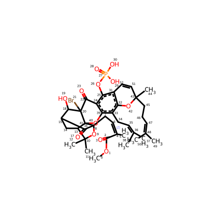 COC(=O)/C(C)=C\CC12OC(C)(C)C3CC(C1=O)C(O)C1(Br)C(=O)c4c(OP(=O)(O)O)c5c(c(CC=C(C)C)c4OC321)OC(C)(CCC=C(C)C)C=C5